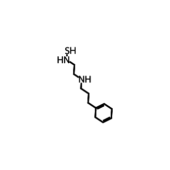 SNCCNCCCC1=CCC=CC1